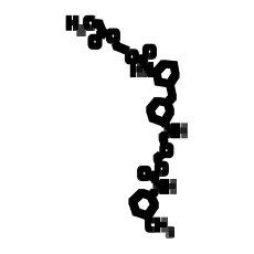 C=CC(=O)OCCOC(=O)NC1CCCC(CC2CCCC(NCOCOC(=O)NC3CCCC(C)C3)C2)C1